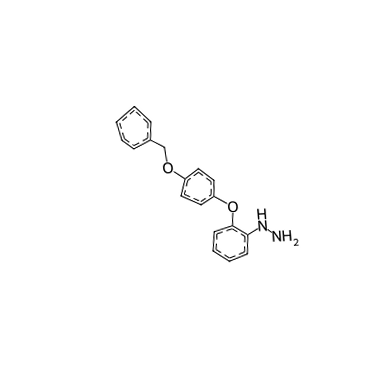 NNc1ccccc1Oc1ccc(OCc2ccccc2)cc1